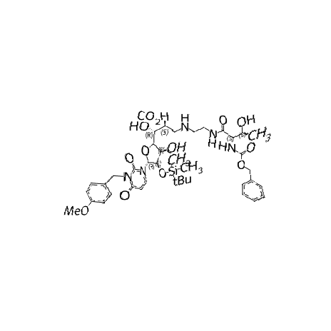 COc1ccc(Cn2c(=O)ccn([C@@H]3OC([C@H](O)[C@H](CNCCNC(=O)[C@@H](NC(=O)OCc4ccccc4)[C@H](C)O)C(=O)O)[C@@H](O)[C@H]3O[Si](C)(C)C(C)(C)C)c2=O)cc1